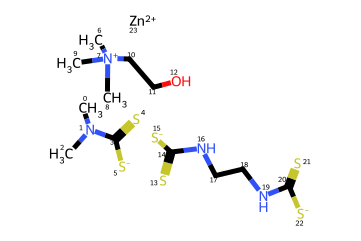 CN(C)C(=S)[S-].C[N+](C)(C)CCO.S=C([S-])NCCNC(=S)[S-].[Zn+2]